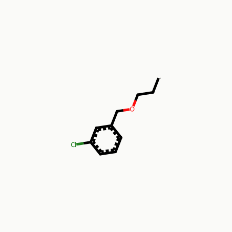 [CH2]CCOCc1cccc(Cl)c1